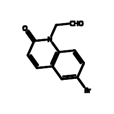 O=CCn1c(=O)ccc2cc(Br)ccc21